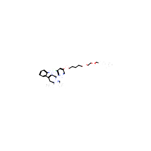 CCOC(=O)COCCOCCCCCOc1cnc([C@@H]2c3[nH]c4ccccc4c3C[C@@H](C)N2CC(F)(F)F)c(F)c1